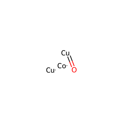 [Co].[Cu].[O]=[Cu]